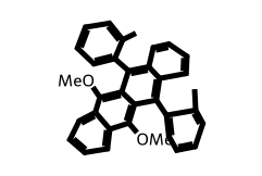 COc1c2ccccc2c(OC)c2c(-c3ccccc3C)c3ccccc3c(-c3ccccc3C)c12